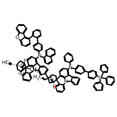 C#C[C@@H]1C[C@H]2C[C@H](C)C[C@@H](C1)C21c2ccccc2-n2c3cc(C4(C=C)C[C@H]5CCCC4CC54c5ccccc5-n5c6ccccc6c6c(N(c7ccccc7)c7ccc(-c8ccc([Si](c9ccccc9)(c9ccccc9)c9ccccc9)cc8)cc7)ccc4c65)ccc3c3c(N(c4ccc(-c5ccccc5-c5cccc6oc7ccccc7c56)cc4)c4cccc5ccccc45)ccc1c32